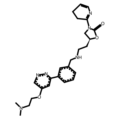 CN(C)CCOc1cnnc(-c2cccc(CNCC[C@H]3CN(C4=NC=CCC4)C(=O)O3)c2)c1